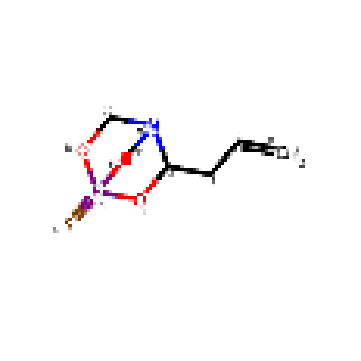 C=CCC1OP2(=S)OCN1CO2